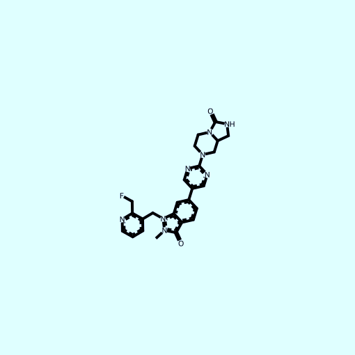 Cn1c(=O)c2ccc(-c3cnc(N4CCN5C(=O)NCC5C4)nc3)cc2n1Cc1cccnc1CF